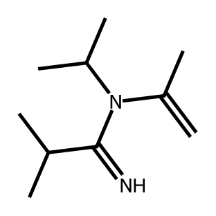 C=C(C)N(C(=N)C(C)C)C(C)C